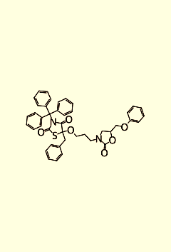 O=C1OC(COc2ccccc2)CN1CCCOC1(Cc2ccccc2)SC(=O)N(C(c2ccccc2)(c2ccccc2)c2ccccc2)C1=O